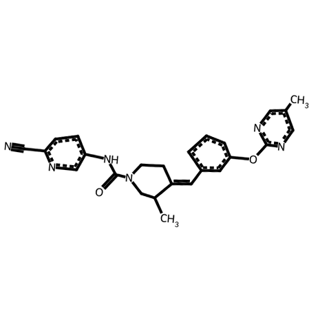 Cc1cnc(Oc2cccc(/C=C3\CCN(C(=O)Nc4ccc(C#N)nc4)CC3C)c2)nc1